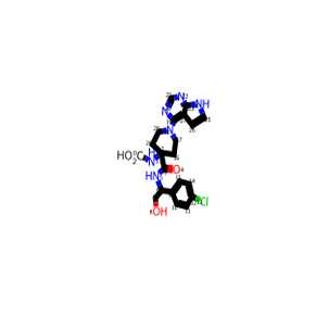 O=C(O)NC1(C(=O)NC(CO)c2ccc(Cl)cc2)CCN(c2ncnc3[nH]ccc23)CC1